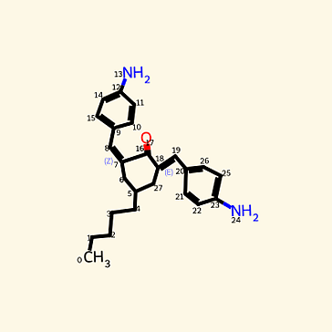 CCCCCC1C/C(=C/c2ccc(N)cc2)C(=O)/C(=C/c2ccc(N)cc2)C1